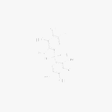 Cc1c(O)cc(C(C)(C)c2cc(O)c(C)c(C)c2C)c(C)c1C